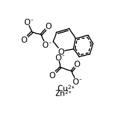 C1=Cc2ccccc2OC1.O=C([O-])C(=O)[O-].O=C([O-])C(=O)[O-].[Cu+2].[Zn+2]